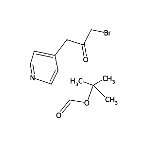 CC(C)(C)OC=O.O=C(CBr)Cc1ccncc1